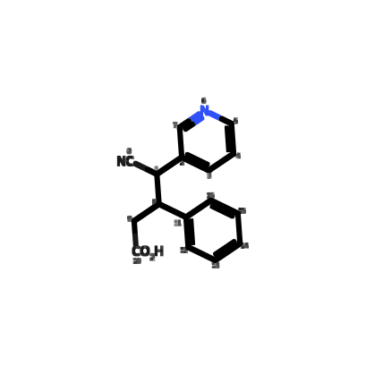 N#CC(c1cccnc1)C(CC(=O)O)c1ccccc1